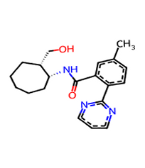 Cc1ccc(-c2ncccn2)c(C(=O)N[C@@H]2CCCCC[C@@H]2CO)c1